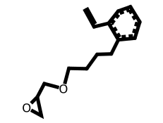 C=Cc1ccccc1CCCCOCC1CO1